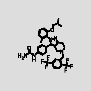 Cc1cccc(OCC(C)C)c1-n1nc2c(c1-c1ccc(NC(N)=O)cc1)CN(Cc1cc(C(F)(F)F)ccc1C(F)(F)F)CC2